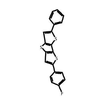 Fc1ccc(-c2cc3sc4cc(-c5ccccc5)sc4c3s2)cc1